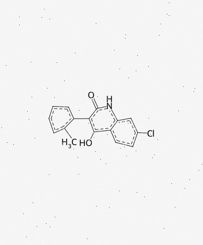 Cc1ccccc1-c1c(O)c2ccc(Cl)cc2[nH]c1=O